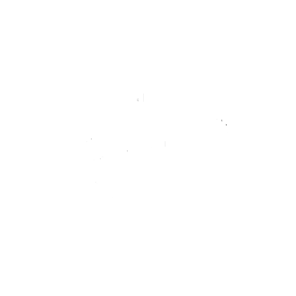 C=C(C)C(=O)OCC(CC)(CC)CCC#N